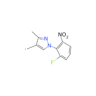 [CH2]c1cn(-c2c(F)cccc2[N+](=O)[O-])nc1C